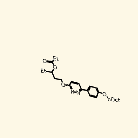 CCCCCCCCOc1ccc(-c2ccc(OCCC(CC)OC(=O)CC)nn2)cc1